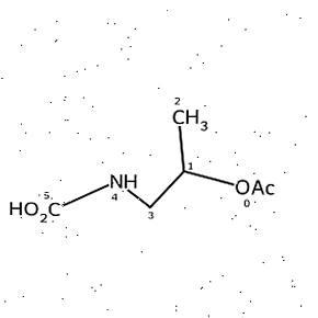 CC(=O)OC(C)CNC(=O)O